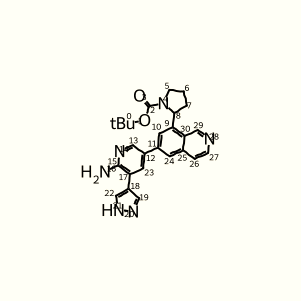 CC(C)(C)OC(=O)N1CCCC1c1cc(-c2cnc(N)c(-c3cn[nH]c3)c2)cc2ccncc12